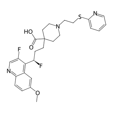 COc1ccc2ncc(F)c([C@H](F)CCC3(C(=O)O)CCN(CCSc4ccccn4)CC3)c2c1